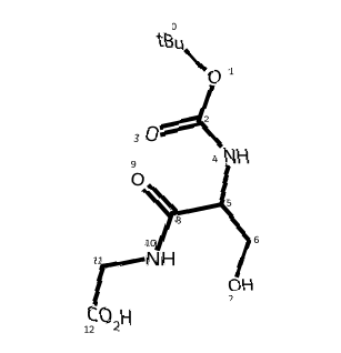 CC(C)(C)OC(=O)NC(CO)C(=O)NCC(=O)O